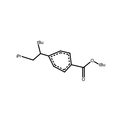 CC(C)CC(c1ccc(C(=O)OC(C)(C)C)cc1)C(C)(C)C